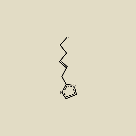 [CH2]CCC=CCc1ncco1